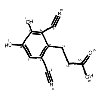 N#Cc1cc(O)c(O)c(C#N)c1CCC(=O)O